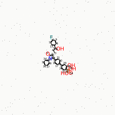 O=C1[C@H](CC[C@H](O)c2ccc(F)cc2)[C@@H](c2ccc(-c3ccc(P(=O)(O)O)c(O)c3)cc2)N1c1ccccc1